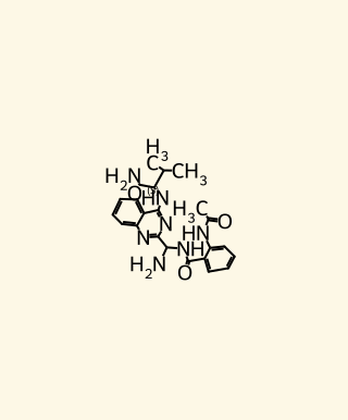 CC(=O)Nc1ccccc1C(=O)NC(N)c1nc(N[C@H](C(N)=O)C(C)C)c2ccccc2n1